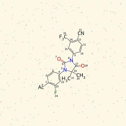 CC(=O)c1ccc(N2C(=O)N(c3ccc(C#N)c(C(F)(F)F)c3)C(=O)C2(C)C)cc1F